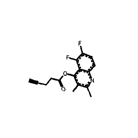 C#CCCC(=O)Oc1c(C)c(C)nc2ccc(F)c(F)c12